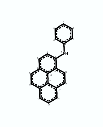 c1ccc(Pc2ccc3ccc4cccc5ccc2c3c45)cc1